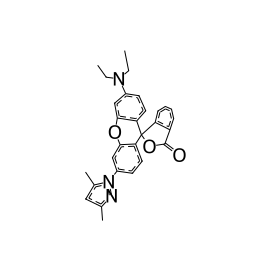 CCN(CC)c1ccc2c(c1)Oc1cc(-n3nc(C)cc3C)ccc1C21OC(=O)c2ccccc21